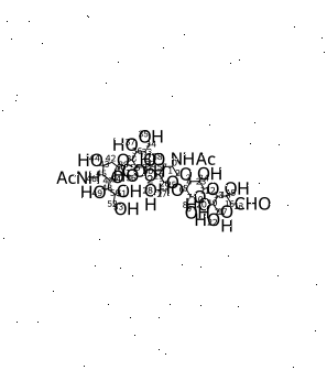 CC(=O)N[C@H]1[C@H](O[C@H]2[C@@H](O)[C@@H](CO)O[C@@H](O[C@@H]([C@H](O)[C@@H](O)C=O)[C@H](O)CO)[C@@H]2O)O[C@H](CO)[C@@H](O[C@@H]2O[C@H](CO)[C@H](O)[C@H](O[C@]3(C(=O)O)C[C@H](O)[C@@H](NC(C)=O)[C@H]([C@H](O)[C@H](O)CO)O3)[C@H]2O)[C@@H]1O